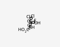 Cc1c(CC(=O)NCC(C)C(=O)O)c2cc(O)c(F)cc2n1C(=O)c1ccc(Cl)c(Cl)c1